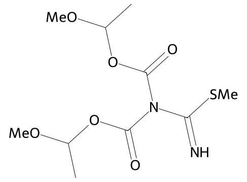 COC(C)OC(=O)N(C(=N)SC)C(=O)OC(C)OC